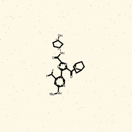 CC(C)(C)Nc1cc(C(F)F)c(-c2sc(C(=O)N[C@@H]3CC[C@@H](O)C3)nc2C(=O)N2C3CCC2CC3)cn1